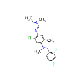 CCN(C)C=Nc1cc(C)c(N(C)Cc2ccc(F)cc2F)cc1Cl